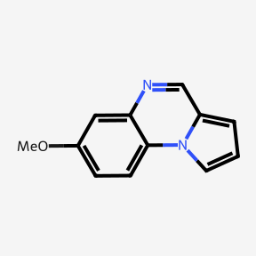 COc1ccc2c(c1)ncc1cccn12